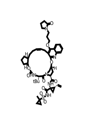 C=C[C@@H]1C[C@]1(NC(=O)[C@@H]1C[C@@H]2CN1C(=O)[C@H](C(C)(C)C)NC(=O)O[C@@H]1CCC[C@H]1CCC=CCc1c(nc3ccccc3c1OCCCN1CCCC1=O)O2)C(=O)NS(=O)(=O)C1(C)CC1